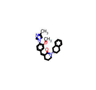 COc1cc(C=C2CCCN([C@H]3CCc4ccccc4C3)C2=O)ccc1-n1cnc(C)c1